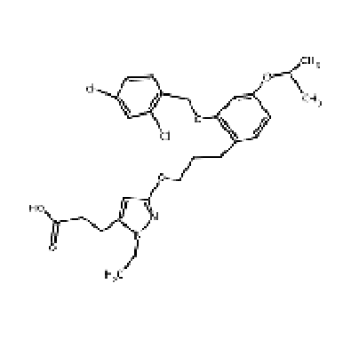 CCn1nc(OCCCc2ccc(OC(C)C)cc2OCc2ccc(Cl)cc2Cl)cc1CCC(=O)O